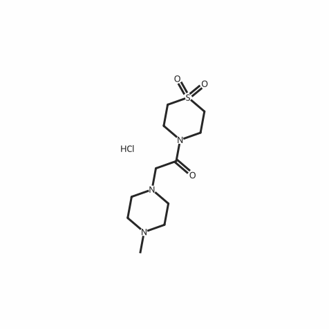 CN1CCN(CC(=O)N2CCS(=O)(=O)CC2)CC1.Cl